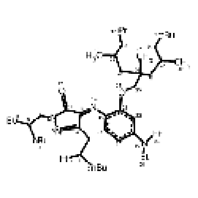 CCCCC(CC)CC1=NN(CC(CC)CCCC)C(=O)C1=Nc1ccc(N(CC)CC)cc1OCC(C)(CC(C)CC(C)C)CC(C)CC(C)(C)C